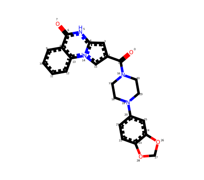 O=C(c1cc2[nH]c(=O)c3ccccc3n2c1)N1CCN(c2ccc3c(c2)OCO3)CC1